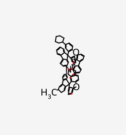 CC1C=C2C(=CC1)C1(c3ccccc3Oc3ccccc31)c1cc(N(c3ccc4c(c3)C3(c5cc(C6CCCCC6)ccc5Oc5ccc(C6CCCCC6)cc53)c3ccccc3-4)c3cccc4c3sc3ccccc34)ccc12